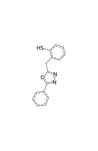 Sc1ccccc1Cc1nnc(-c2ccccc2)o1